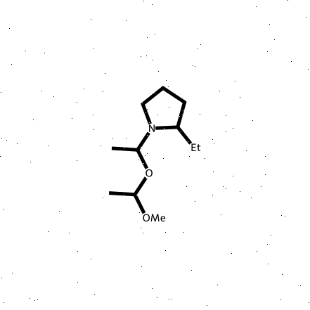 CCC1CCCN1C(C)OC(C)OC